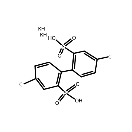 O=S(=O)(O)c1cc(Cl)ccc1-c1ccc(Cl)cc1S(=O)(=O)O.[KH].[KH]